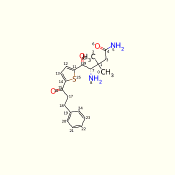 CC(C)(CC(N)=O)[C@H](N)C(=O)c1ccc(C(=O)CCc2ccccc2)s1